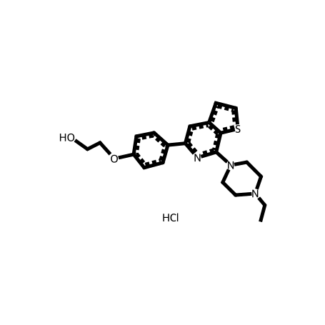 CCN1CCN(c2nc(-c3ccc(OCCO)cc3)cc3ccsc23)CC1.Cl